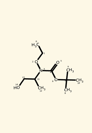 CCON(C(=O)OC(C)(C)C)C(C)CO